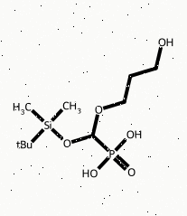 CC(C)(C)[Si](C)(C)OC(OCCCO)P(=O)(O)O